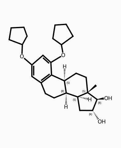 C[C@]12CC[C@@H]3c4c(cc(OC5CCCC5)cc4OC4CCCC4)CC[C@@H]3[C@@H]1C[C@@H](O)[C@@H]2O